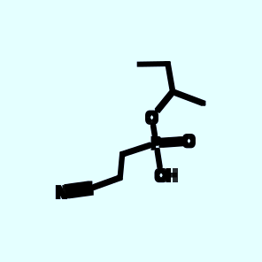 CCC(C)OP(=O)(O)CCC#N